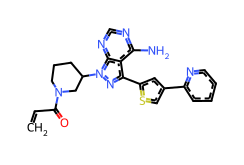 C=CC(=O)N1CCCC(n2nc(-c3cc(-c4ccccn4)cs3)c3c(N)ncnc32)C1